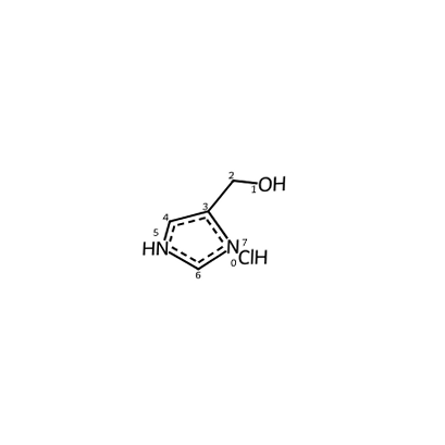 Cl.OCc1c[nH]cn1